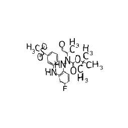 C[C@@H](C=O)N(Nc1ccc(F)cc1Nc1cccc(S(C)(=O)=O)c1)C(=O)OC(C)(C)C